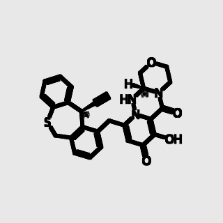 C#C[C@@H]1c2ccccc2SCc2cccc(Cc3cc(=O)c(O)c4n3N[C@@H]3COCCN3C4=O)c21